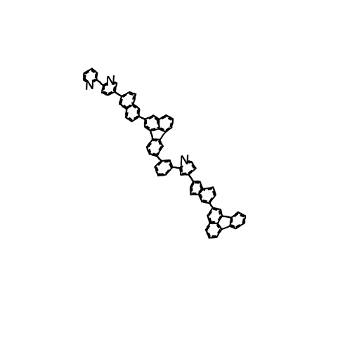 c1ccc(-c2ccc(-c3ccc4cc(-c5cc6c7c(cccc7c5)-c5cc(-c7cccc(-c8cc(-c9ccc%10cc(-c%11cc%12c%13c(cccc%13c%11)-c%11ccccc%11-%12)ccc%10c9)ccn8)c7)ccc5-6)ccc4c3)cn2)nc1